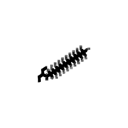 CCC(CC)NC(F)(F)C(F)(F)C(F)(F)C(F)(F)C(F)(F)C(F)(F)C(F)(F)C(F)(F)C(F)(F)C(F)(F)F